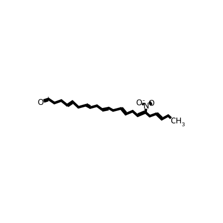 CC/C=C/C/C(=C/C/C=C/C/C=C/C/C=C/C/C=C/CC[C]=O)[N+](=O)[O-]